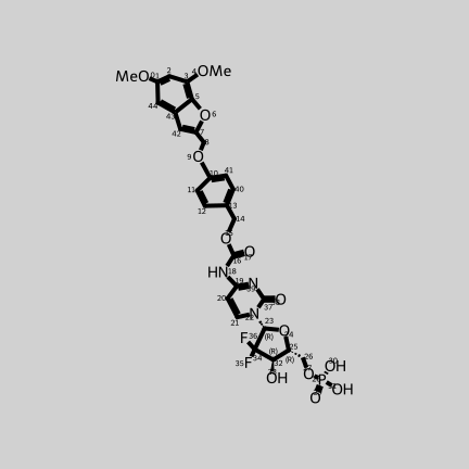 COc1cc(OC)c2oc(COc3ccc(COC(=O)Nc4ccn([C@@H]5O[C@H](COP(=O)(O)O)[C@@H](O)C5(F)F)c(=O)n4)cc3)cc2c1